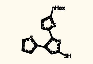 CCCCCCc1ccc(-c2sc(S)cc2-c2cccs2)s1